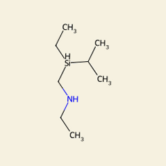 CCNC[SiH](CC)C(C)C